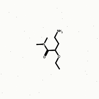 CCOC(CCN)C(=O)N(C)C